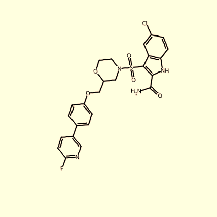 NC(=O)c1[nH]c2ccc(Cl)cc2c1S(=O)(=O)N1CCOC(COc2ccc(-c3ccc(F)nc3)cc2)C1